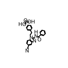 N#Cc1ccc2c(c1)nc(NC(=O)c1ccccc1)n2CCc1ccc(P(=O)(O)O)cc1